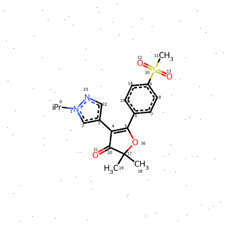 CC(C)n1cc(C2=C(c3ccc(S(C)(=O)=O)cc3)OC(C)(C)C2=O)cn1